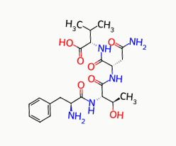 CC(C)[C@H](NC(=O)[C@H](CC(N)=O)NC(=O)[C@@H](NC(=O)[C@@H](N)Cc1ccccc1)[C@@H](C)O)C(=O)O